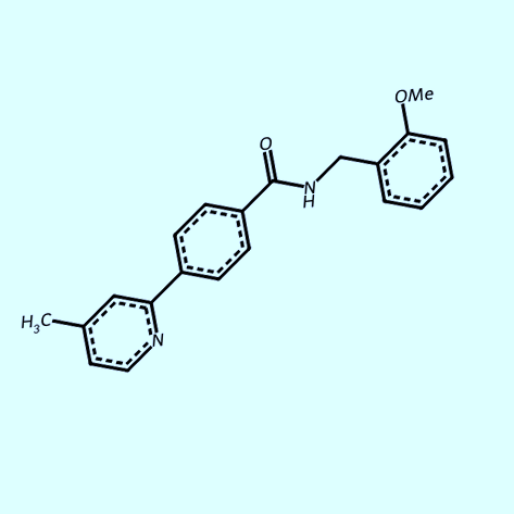 COc1ccccc1CNC(=O)c1ccc(-c2cc(C)ccn2)cc1